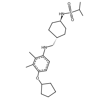 Cc1c(NC[C@H]2CC[C@H](NS(=O)(=O)C(C)C)CC2)ccc(OC2CCCC2)c1C